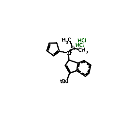 C[Si](C)=[Zr]([C]1=CC=CC1)[CH]1C=C(C(C)(C)C)c2ccccc21.Cl.Cl